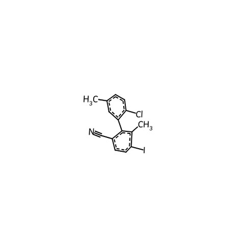 Cc1ccc(Cl)c(-c2c(C#N)ccc(I)c2C)c1